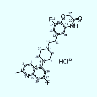 Cc1ccc2c(N3CCN(CCc4cc(F)c5c(c4)NC(=O)CO5)CC3)cc(F)cc2n1.Cl